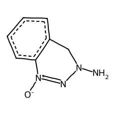 NN1Cc2ccccc2[N+]([O-])=N1